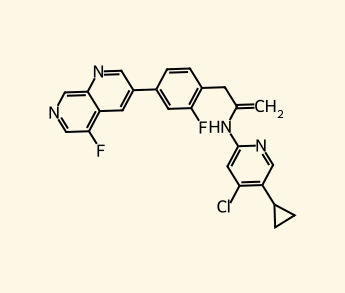 C=C(Cc1ccc(-c2cnc3cncc(F)c3c2)cc1F)Nc1cc(Cl)c(C2CC2)cn1